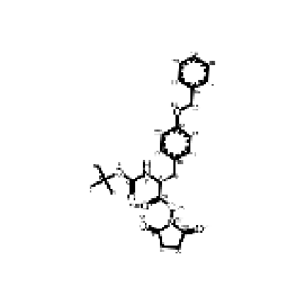 CC(C)(C)OC(=O)N[C@@H](Cc1ccc(OCc2ccccc2)cc1)C(=O)ON1C(=O)CCC1=O